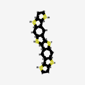 c1cc2sc3cc4sc5c6cc7c(cc6sc5c4cc3c2s1)sc1ccsc17